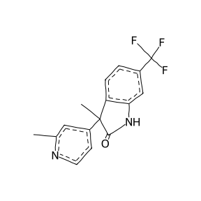 Cc1cc(C2(C)C(=O)Nc3cc(C(F)(F)F)ccc32)ccn1